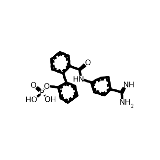 N=C(N)c1ccc(NC(=O)c2ccccc2-c2ccccc2OP(=O)(O)O)cc1